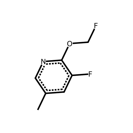 Cc1cnc(OCF)c(F)c1